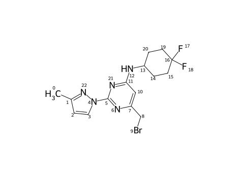 Cc1ccn(-c2nc(CBr)cc(NC3CCC(F)(F)CC3)n2)n1